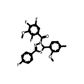 COc1cc(C)ccc1C1SC(c2ccc(F)cc2)=NN1C(=O)c1cc(F)c(F)c(OC)c1F